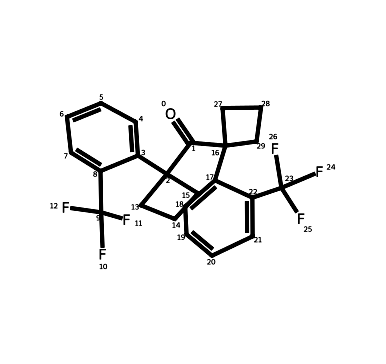 O=C(C1(c2ccccc2C(F)(F)F)CCC1)C1(c2ccccc2C(F)(F)F)CCC1